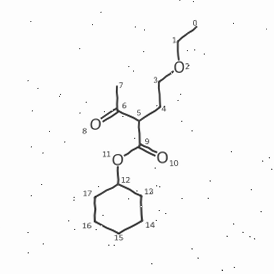 CCOCCC(C(C)=O)C(=O)OC1CCCCC1